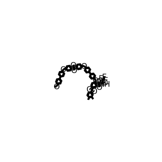 COc1ccc(-c2ccc(Oc3ccc(S(=O)(=O)c4ccc(Oc5ccc(-c6ccc(Oc7ccc(S(=O)(=O)c8ccc(C)c(C)c8)cc7S(=O)(=O)NS(=O)(=O)C(F)(F)F)cc6)cc5)cc4)cc3)cc2)cc1